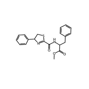 COC(=O)C(Cc1ccccc1)NC(=O)C1=NC(c2ccccc2)CS1